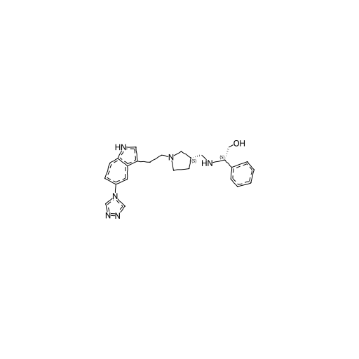 OC[C@@H](NC[C@@H]1CCN(CCc2c[nH]c3ccc(-n4cnnc4)cc23)C1)c1ccccc1